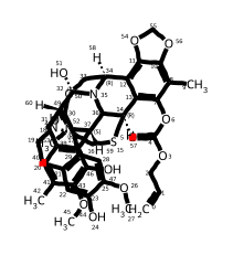 C=CCOC(=O)Oc1c(C)c2c(c3c1[C@H]1SC[C@]4(NCCc5cc(O)c(OC)cc54)C(=O)OC[C@@H]3N3C1[C@@H]1c4c(cc(C)c(OC)c4O)C[C@H]([C@@H]3O)N1C)OCO2